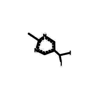 Cc1ncc(C(I)I)cn1